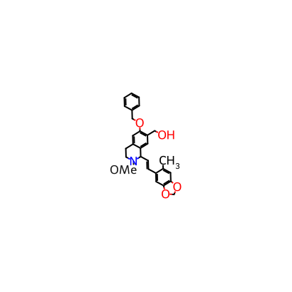 CON1CCc2cc(OCc3ccccc3)c(CO)cc2C1/C=C/c1cc2c(cc1C)OCO2